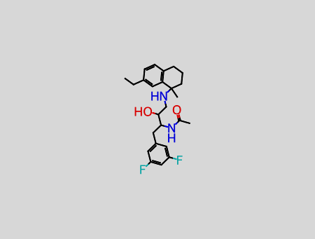 CCc1ccc2c(c1)C(C)(NCC(O)C(Cc1cc(F)cc(F)c1)NC(C)=O)CCC2